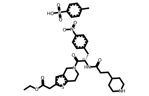 CCOC(=O)Cc1cc2c(s1)CCN(C(=O)[C@H](Cc1ccc([N+](=O)[O-])cc1)NC(=O)CCC1CCNCC1)C2.Cc1ccc(S(=O)(=O)O)cc1